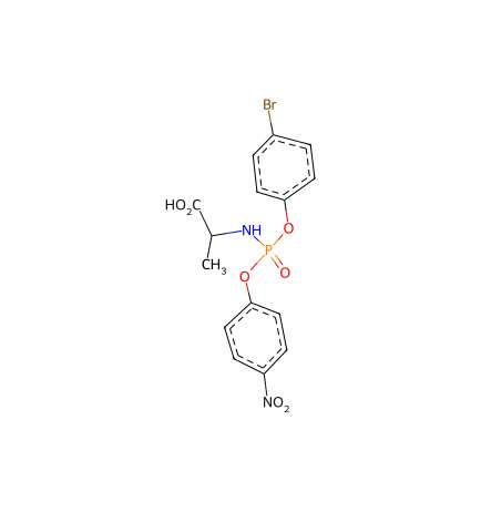 CC(NP(=O)(Oc1ccc(Br)cc1)Oc1ccc([N+](=O)[O-])cc1)C(=O)O